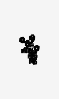 CC(C)CC(NC(=O)C(Cc1ccccc1)NC(O)[C@H](CC(C)C)NC(=O)C(CCc1ccccc1)NC(=O)CN1CCOCC1)C(=O)[C@@]1(C)CO1